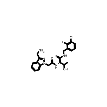 CC(O)[C@H](NC(=O)Cn1nc(CN)c2ccccc21)C(=O)NCc1cccc(Cl)c1F